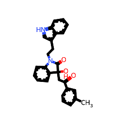 Cc1cccc(C(=O)CC2(O)C(=O)N(CCc3c[nH]c4ccccc34)c3ccccc32)c1